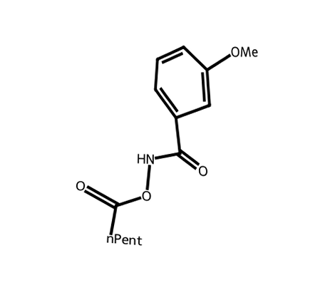 CCCCCC(=O)ONC(=O)c1cccc(OC)c1